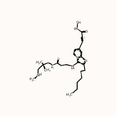 CCCCCCc1nc2cc(/C=C/C(=O)NO)ccn2c1NCCC(=O)NCC(C)(C)CNC